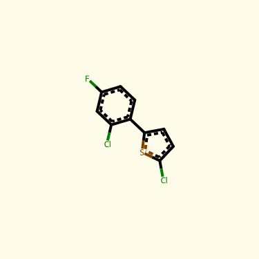 Fc1ccc(-c2ccc(Cl)s2)c(Cl)c1